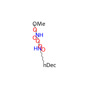 CCCCCCCCCCCCCCCCCC(=O)NOCCOCC(=O)NCCOCCOC